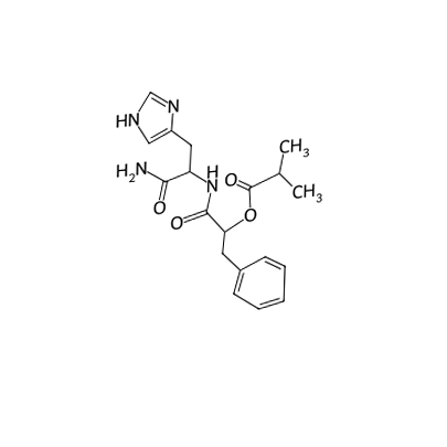 CC(C)C(=O)OC(Cc1ccccc1)C(=O)NC(Cc1c[nH]cn1)C(N)=O